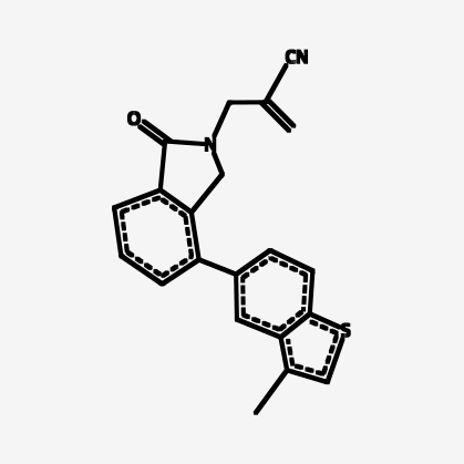 C=C(C#N)CN1Cc2c(cccc2-c2ccc3scc(C)c3c2)C1=O